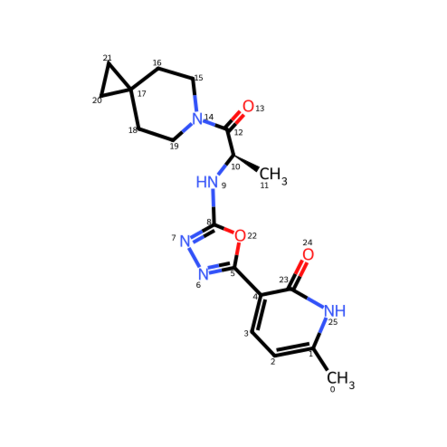 Cc1ccc(-c2nnc(N[C@H](C)C(=O)N3CCC4(CC3)CC4)o2)c(=O)[nH]1